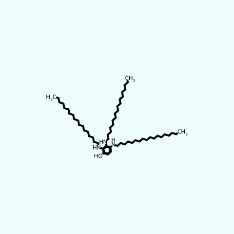 CCCCCCCCCCCCCCCCCCNc1ccc(O)c(NCCCCCCCCCCCCCCCCCC)c1NCCCCCCCCCCCCCCCCCC